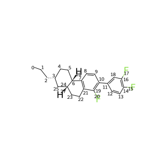 CCC[C@@H]1CC[C@@H]2c3ccc(-c4ccc(F)c(F)c4)c(F)c3CC[C@@H]2C1